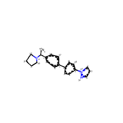 CC(c1ccc(-c2ccc(-n3cccn3)cc2)cc1)N1CCCC1